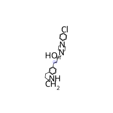 C=C1CCc2cc(/C=C/[C@H](O)CN3CCN(c4ccc(Cl)cc4)CC3)ccc2N1